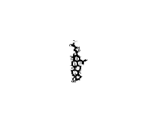 C=C(C)C1C=C(c2cc(C(=O)O)no2)C(C)(C)[C@@H]2CC[C@]3(C)[C@H](CC[C@@H]4[C@H]5CCC[C@]5(CO)CC[C@]43C)[C@@]12C